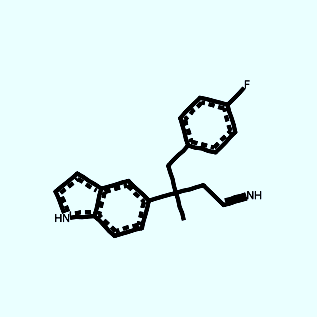 CC(CC=N)(Cc1ccc(F)cc1)c1ccc2[nH]ccc2c1